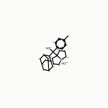 Cc1ccc(C(O)(C2C3CC4CC(C3)CC2C4)C23CCCN2CCC3)cc1.Cl